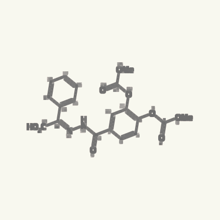 COC(=O)Oc1ccc(C(=O)NN=C(C(=O)O)c2ccccc2)cc1OC(=O)OC